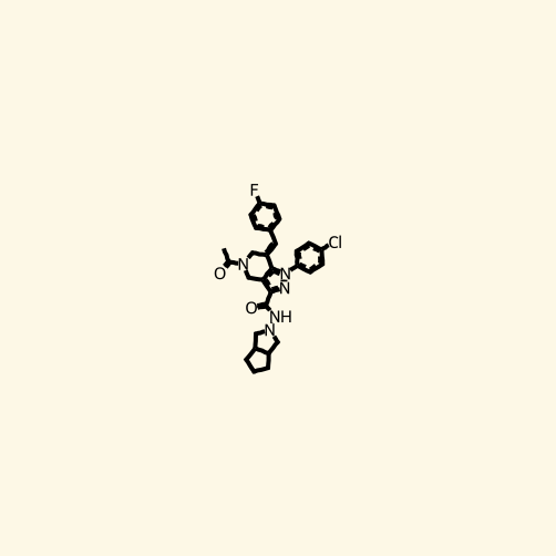 CC(=O)N1C/C(=C\c2ccc(F)cc2)c2c(c(C(=O)NN3CC4CCCC4C3)nn2-c2ccc(Cl)cc2)C1